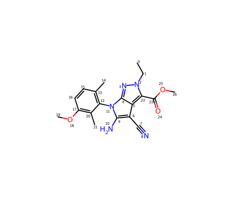 CCn1nc2c(c(C#N)c(N)n2-c2c(C)ccc(OC)c2C)c1C(=O)OC